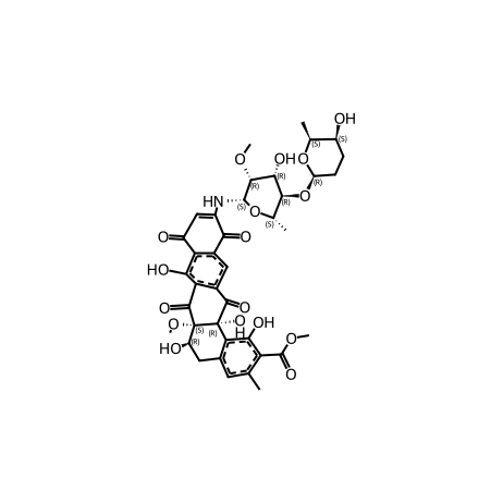 COC(=O)c1c(C)cc2c(c1O)[C@]1(O)C(=O)c3cc4c(c(O)c3C(=O)[C@]1(OC)[C@H](O)C2)C(=O)C=C(N[C@H]1O[C@@H](C)[C@H](O[C@@H]2CC[C@H](O)[C@H](C)O2)[C@@H](O)[C@H]1OC)C4=O